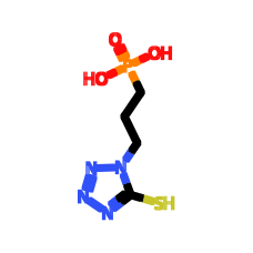 O=P(O)(O)CCCn1nnnc1S